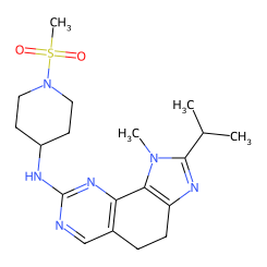 CC(C)c1nc2c(n1C)-c1nc(NC3CCN(S(C)(=O)=O)CC3)ncc1CC2